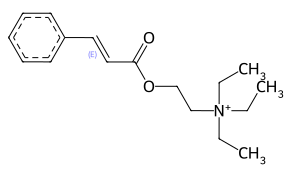 CC[N+](CC)(CC)CCOC(=O)/C=C/c1ccccc1